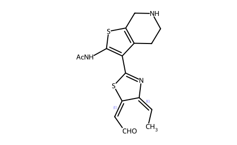 C/C=c1/nc(-c2c(NC(C)=O)sc3c2CCNC3)s/c1=C/C=O